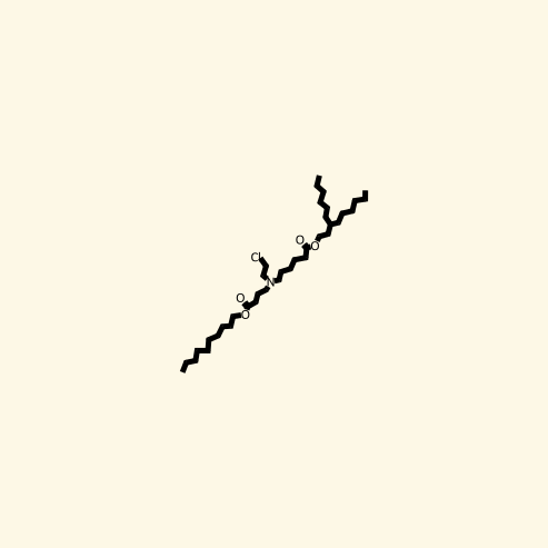 CCCCCCCCCCOC(=O)CCCN(CCCl)CCCCCC(=O)OCCC(CCCCCC)CCCCCC